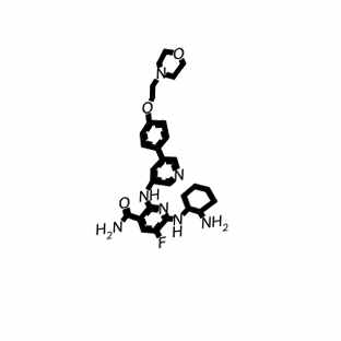 NC(=O)c1cc(F)c(NC2CCCCC2N)nc1Nc1cncc(-c2ccc(OCCN3CCOCC3)cc2)c1